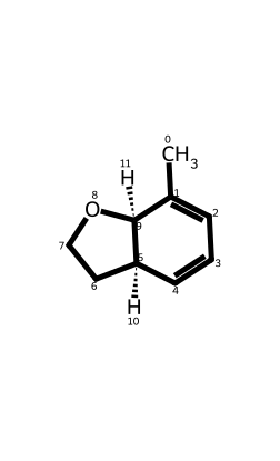 CC1=CC=C[C@H]2CCO[C@@H]12